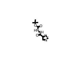 CC(C)(C)OC(=O)NNC(=O)c1cnsn1